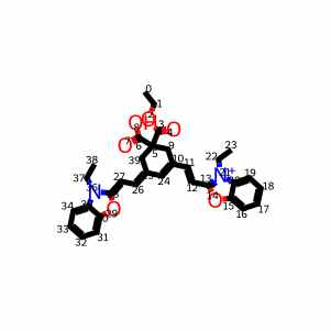 CCOC(=O)C1(C(=O)O)CC(/C=C/c2oc3ccccc3[n+]2CC)=CC(=C/C=C2\Oc3ccccc3N2CC)/C1